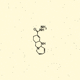 NNC(=O)C1=CC2NC3C=CC=CCN3CC2CC1